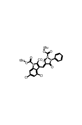 CC(C)(C)OC(=O)N1CC(=Cc2c(C(=O)O)n(C(=O)OC(C)(C)C)c3cc(Cl)cc(Cl)c23)C(=O)N1c1ccccc1